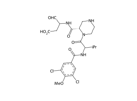 COc1c(Cl)cc(C(=O)NC(C(=O)N2CCNC[C@H]2C(=O)NC(C=O)CC(=O)O)C(C)C)cc1Cl